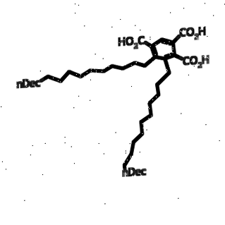 CCCCCCCCCCCCCCCCCCCCc1c(C(=O)O)cc(C(=O)O)c(C(=O)O)c1CCCCCCCCCCCCCCCCCCCC